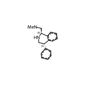 CNC[C@@H]1NC[C@@H](c2ccccc2)c2ccccc21